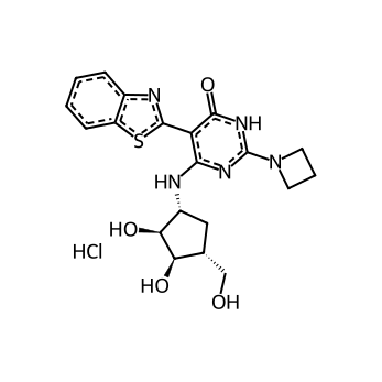 Cl.O=c1[nH]c(N2CCC2)nc(N[C@@H]2C[C@H](CO)[C@@H](O)[C@H]2O)c1-c1nc2ccccc2s1